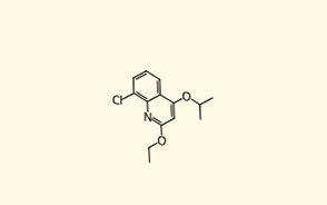 CCOc1cc(OC(C)C)c2cccc(Cl)c2n1